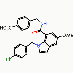 COc1cc(C(=O)N[C@@H](C)c2ccc(C(=O)O)cc2)c2c(ccn2Cc2ccc(Cl)cc2)c1